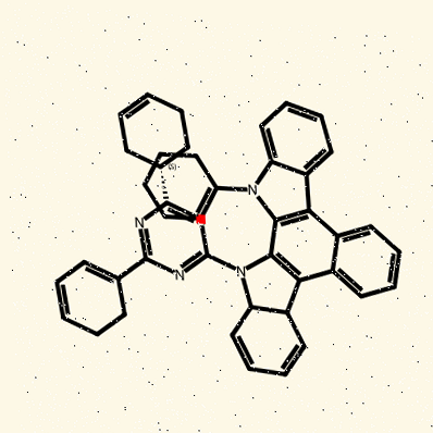 C1=CCCC(c2nc([C@@H]3CC=CCC3)nc(N3c4c(c5ccccc5c5c6ccccc6n(C6=CCCCC6)c45)C4C=CC=CC43)n2)=C1